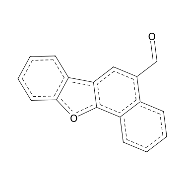 O=Cc1cc2c3ccccc3oc2c2ccccc12